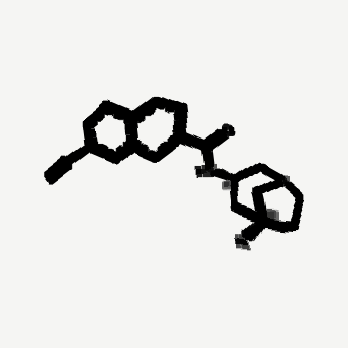 C#Cc1ccc2ccc(C(=O)N[C@@H]3C[C@H]4CCN(C4)C3)cc2c1